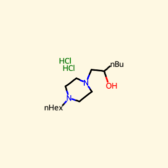 CCCCCCN1CCN(CC(O)CCCC)CC1.Cl.Cl